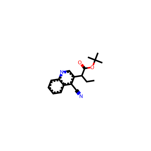 CCC(C(=O)OC(C)(C)C)c1cnc2ccccc2c1C#N